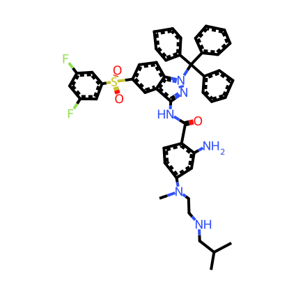 CC(C)CNCCN(C)c1ccc(C(=O)Nc2nn(C(c3ccccc3)(c3ccccc3)c3ccccc3)c3ccc(S(=O)(=O)c4cc(F)cc(F)c4)cc23)c(N)c1